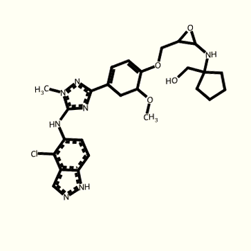 COC1CC(c2nc(Nc3ccc4[nH]ncc4c3Cl)n(C)n2)=CC=C1OCC1OC1NC1(CO)CCCC1